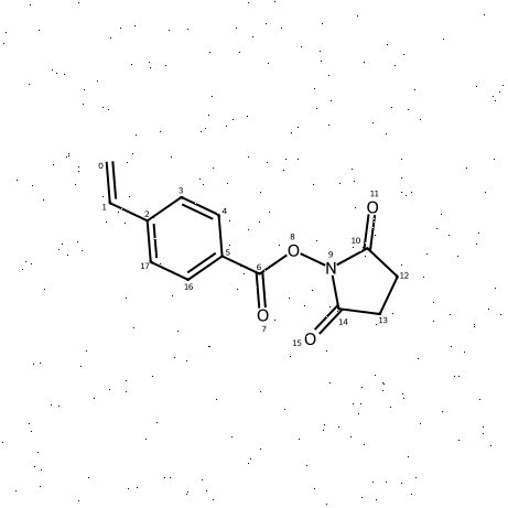 C=Cc1ccc(C(=O)ON2C(=O)CCC2=O)cc1